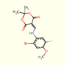 COc1cc(Br)c(NC=C2C(=O)OC(C)(C)OC2=O)cc1F